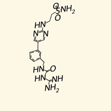 N=C(N)NC(=O)NCc1cccc(-c2cnc(NCCS(N)(=O)=O)nc2)c1